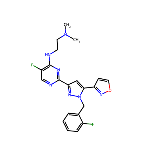 CN(C)CCNc1nc(-c2cc(-c3ccon3)n(Cc3ccccc3F)n2)ncc1F